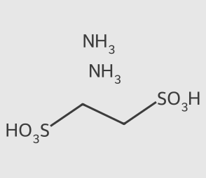 N.N.O=S(=O)(O)CCS(=O)(=O)O